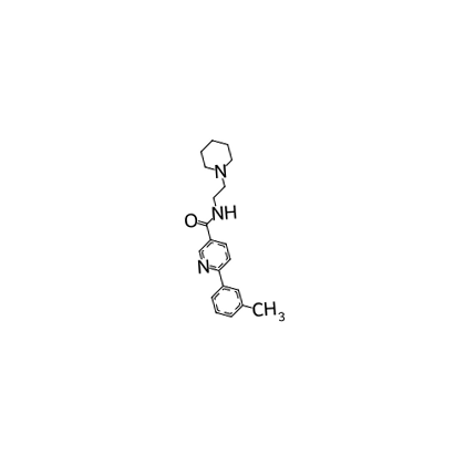 Cc1cccc(-c2ccc(C(=O)NCCN3CCCCC3)cn2)c1